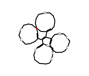 C1=C(C(C2=CCCCCCCCCCC2)=C(C2=CCCCCCCCCCC2)C2=CCCCCCCCCCC2)CCCCCCCCCC1